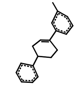 Cc1cccc(C2=CCC(c3ccccc3)CC2)c1